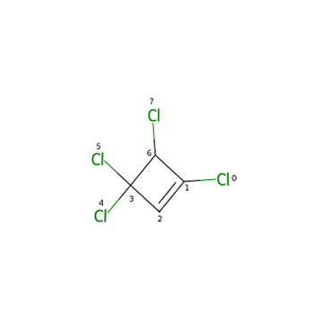 ClC1=CC(Cl)(Cl)C1Cl